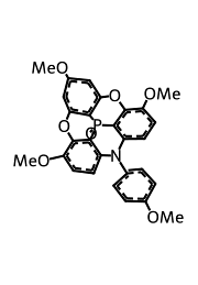 COc1ccc(N2c3ccc(OC)c4c3P3(=O)c5c(cc(OC)cc5Oc5c(OC)ccc2c53)O4)cc1